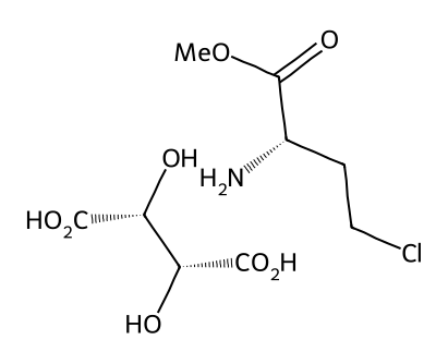 COC(=O)[C@@H](N)CCCl.O=C(O)[C@H](O)[C@@H](O)C(=O)O